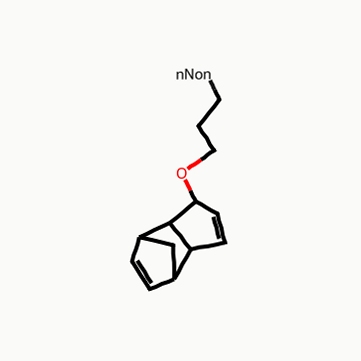 CCCCCCCCCCCCOC1C=CC2C3C=CC(C3)C12